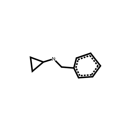 c1ccc(C[N]C2CC2)cc1